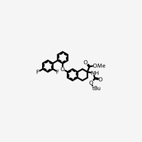 COC(=O)C1(NC(=O)OC(C)(C)C)CCc2ccc(Oc3ccccc3-c3ccc(F)cc3F)cc2C1